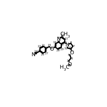 COCCCOC1CCN(c2cc(C)nc3cc(OCc4ccc(C#N)cc4)ccc23)C1